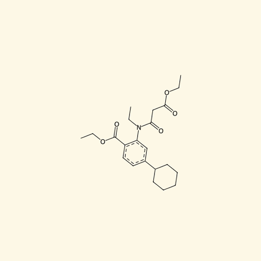 CCOC(=O)CC(=O)N(CC)c1cc(C2CCCCC2)ccc1C(=O)OCC